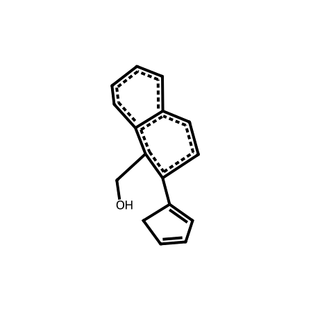 OCc1c(C2=CC=CC2)ccc2ccccc12